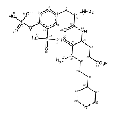 CC(=O)N[C@@H](Cc1ccc(OP(=O)(O)O)c(P(=O)(O)O)c1)C(=O)NC(CCC(=O)O)C(=O)N(C)CCCC1CCCCC1